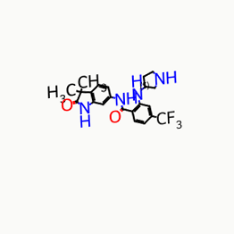 CC1(C)C(=O)Nc2cc(NC(=O)c3ccc(C(F)(F)F)cc3N[C@H]3CCNC3)ccc21